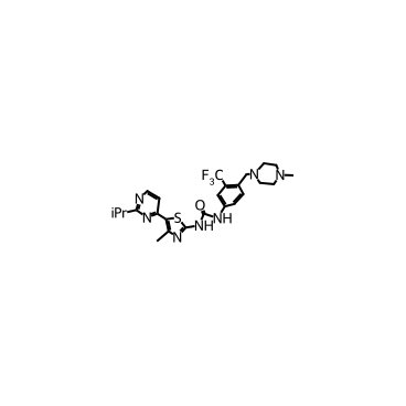 Cc1nc(NC(=O)Nc2ccc(CN3CCN(C)CC3)c(C(F)(F)F)c2)sc1-c1ccnc(C(C)C)n1